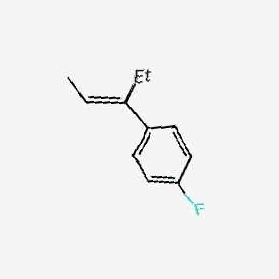 CC=C(CC)c1ccc(F)cc1